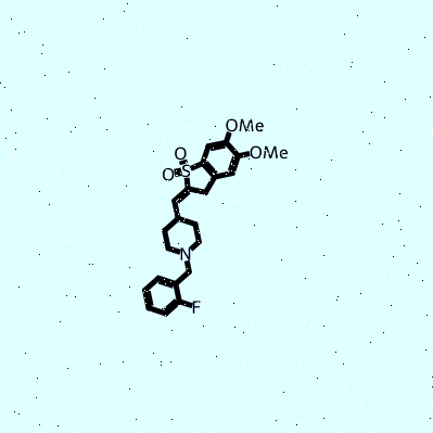 COc1cc2c(cc1OC)S(=O)(=O)/C(=C/C1CCN(Cc3ccccc3F)CC1)C2